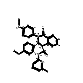 COc1ccc([C@H]2[C@H](C(=O)Nc3cccc(C)n3)c3ccccc3C(=O)N2c2ccc(OC)cc2)cc1